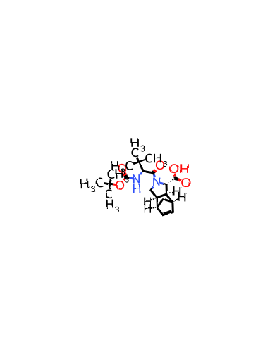 CC(C)(C)OC(=O)N[C@H](C(=O)N1C[C@H]2[C@@H]([C@H]1C(=O)O)[C@H]1C=C[C@@H]2C1)C(C)(C)C